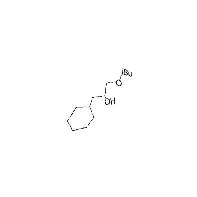 CCC(C)OCC(O)CC1CCCCC1